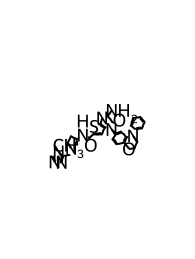 Cn1cnnc1CN1CC[C@@H](NC(=O)c2cc3c(nc(N)c(=O)n3-c3ccc4c(c3)N(c3ccccc3)CCO4)s2)C1